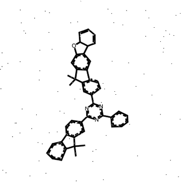 CC1(C)c2ccccc2-c2ccc(-c3nc(-c4ccccc4)nc(-c4ccc5c(c4)C(C)(C)c4cc6c(cc4-5)C4C=CC=CC4O6)n3)cc21